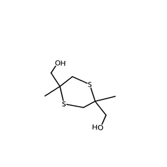 CC1(CO)CSC(C)(CO)CS1